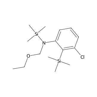 CCOCN(c1cccc(Cl)c1[Si](C)(C)C)[Si](C)(C)C